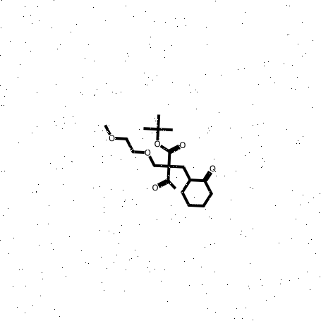 COCCOCC(CC1CCCCC1=O)(C(C)=O)C(=O)OC(C)(C)C